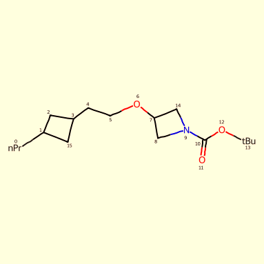 CCCC1CC(CCOC2CN(C(=O)OC(C)(C)C)C2)C1